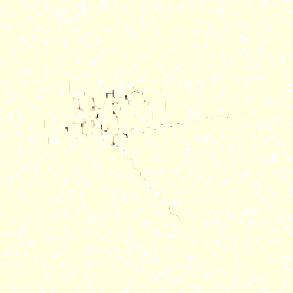 CCCCCCCCCCCCCCCCCC(=O)N[C@@H](COP(=O)(O)O[C@H]1C(O)C(O)C(O)[C@@H](O)C1O[C@H]1O[C@H](COP(=O)(O)OC2C(O)C(O)C(O)[C@@H](O)C2O)[C@@H](O)C(O)C1O)[C@H](O)CCCCCCCCCCCCCCC